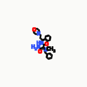 CN(Cc1ccccc1)[C@@H](C(N)=O)C(=O)N[C](CCN1CCOCC1)c1ccccc1